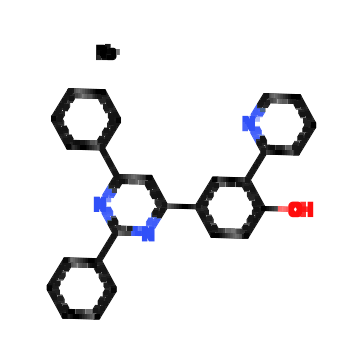 Oc1ccc(-c2cc(-c3ccccc3)nc(-c3ccccc3)n2)cc1-c1ccccn1.[Rb]